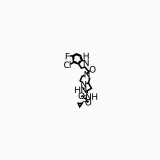 O=C(C1Cc2c(ccc(F)c2Cl)N1)N1CCN2NC(NS(=O)(=O)C3CC3)CC2C1